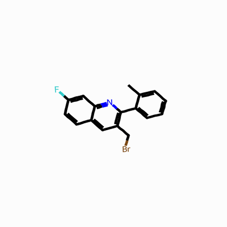 Cc1ccccc1-c1nc2cc(F)ccc2cc1CBr